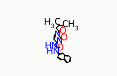 CC1CC(n2ccc(NC(=O)Nc3ccc4ccccc4c3)nc2=O)OC1C